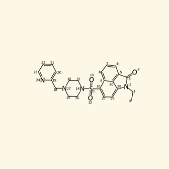 CCN1C(=O)c2cccc3c(S(=O)(=O)N4CCN(Cc5ccccn5)CC4)ccc1c23